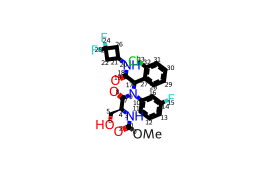 COC(=O)N[C@@H](CO)C(=O)N(c1cccc(F)c1)C(C(=O)NC1CC(F)(F)C1)c1ccccc1Cl